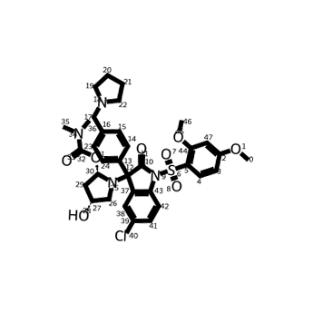 COc1ccc(S(=O)(=O)N2C(=O)C(c3ccc(CN4CCCC4)cc3)(N3C[C@H](O)C[C@@H]3OC(=O)N(C)C)c3cc(Cl)ccc32)c(OC)c1